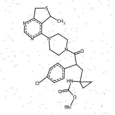 CC1SCc2ncnc(N3CCN(C(=O)C(CC4(NC(=O)OC(C)(C)C)CC4)c4ccc(Cl)cc4)CC3)c21